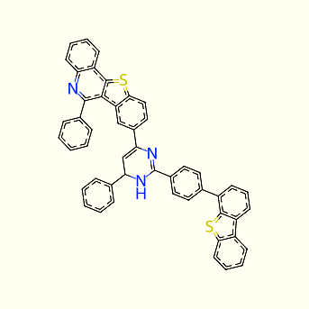 C1=C(c2ccc3sc4c5ccccc5nc(-c5ccccc5)c4c3c2)N=C(c2ccc(-c3cccc4c3sc3ccccc34)cc2)NC1c1ccccc1